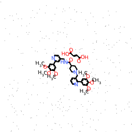 COc1cc(-c2cc(CNC(=O)C3CCN(Cc4cccnc4-c4cc(OC)c(OC)c(OC)c4)CC3)ccn2)cc(OC)c1OC.O=C(O)C=CC(=O)O